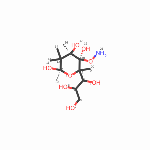 CC1(C(O)C(O)CO)O[C@@](C)(O)C(C)(C)[C@@](C)(O)[C@@]1(O)ON